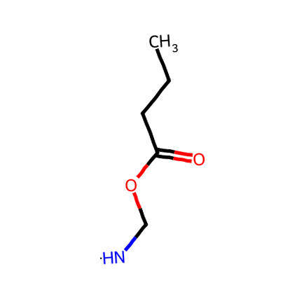 CCCC(=O)OC[NH]